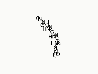 CC(C)(C)OC(=O)N1CCN(CCNC(=O)c2ccc3nc(-c4ccc(-c5nc6ccc(C(=O)NCCN7CCCCC7)cc6[nH]5)cc4)[nH]c3c2)CC1